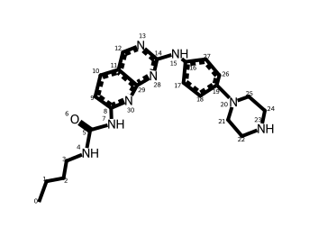 CCCCNC(=O)Nc1ccc2cnc(Nc3ccc(N4CCNCC4)cc3)nc2n1